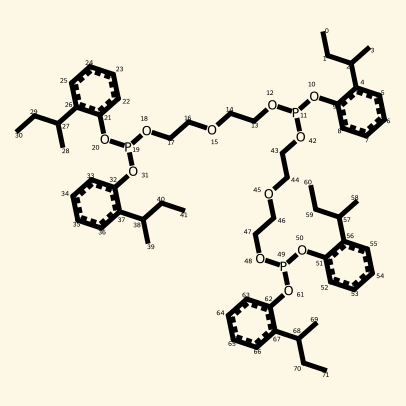 CCC(C)c1ccccc1OP(OCCOCCOP(Oc1ccccc1C(C)CC)Oc1ccccc1C(C)CC)OCCOCCOP(Oc1ccccc1C(C)CC)Oc1ccccc1C(C)CC